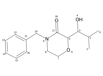 CC(C)C(O)C1OCCN(Cc2ccccc2)C1=O